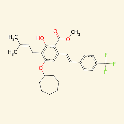 COC(=O)c1c(C=Cc2ccc(C(F)(F)F)cc2)cc(OC2CCCCCC2)c(CC=C(C)C)c1O